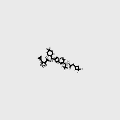 O=C(CC1CC(F)(F)C1)N[C@@H](c1cnn2cc([C@@H](NC(=O)c3nonc3C3CC3)C3CCC(F)(F)CC3)nc2c1)C(F)(F)F